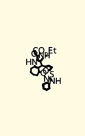 CCOC(=O)Oc1[nH]cc2c1NC1=C(C(=O)CCCC1)C2c1ccc(Sc2nc3ccccc3[nH]2)o1